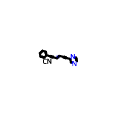 N#Cc1ccccc1C#C/C=C/C#Cc1cnccn1